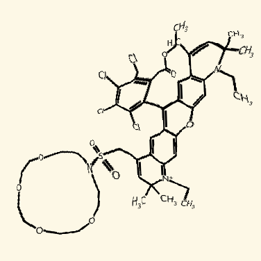 CCOC(=O)c1c(Cl)c(Cl)c(Cl)c(Cl)c1C1=c2cc3c(cc2Oc2cc4c(cc21)C(C)=CC(C)(C)N4CC)=[N+](CC)C(C)(C)C=C3CS(=O)(=O)N1CCOCCOCCOCCOCC1